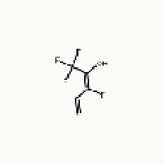 C=C/C(F)=C(/O)C(F)(F)F